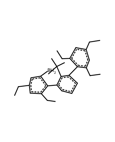 Bc1cc(CC)cc(CC)c1-c1cccc(-c2c(CC)cc(CC)cc2CC)c1C(C)(C)C